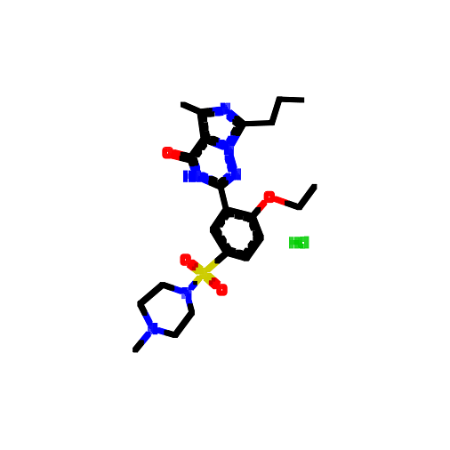 CCCc1nc(C)c2c(=O)[nH]c(-c3cc(S(=O)(=O)N4CCN(C)CC4)ccc3OCC)nn12.Cl